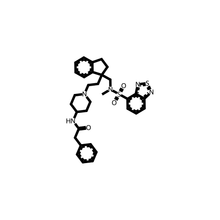 CN(CC1(CCN2CCC(NC(=O)Cc3ccccc3)CC2)CCc2ccccc21)S(=O)(=O)c1cccc2nsnc12